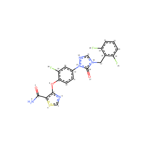 NC(=O)c1scnc1Oc1ccc(-n2ncn(Cc3c(F)cccc3F)c2=O)cc1F